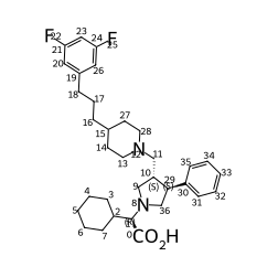 O=C(O)[C@@H](C1CCCCC1)N1C[C@H](CN2CCC(CCCc3cc(F)cc(F)c3)CC2)[C@@H](c2ccccc2)C1